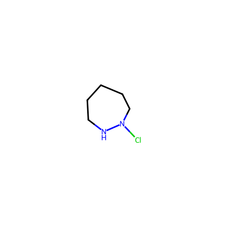 ClN1CCCCCN1